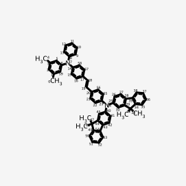 Cc1cc(C)cc(N(c2ccccc2)c2ccc(/C=C/c3ccc(N(c4ccc5c(c4)C(C)(C)c4ccccc4-5)c4ccc5c(c4)C(C)(C)c4ccccc4-5)cc3)cc2)c1